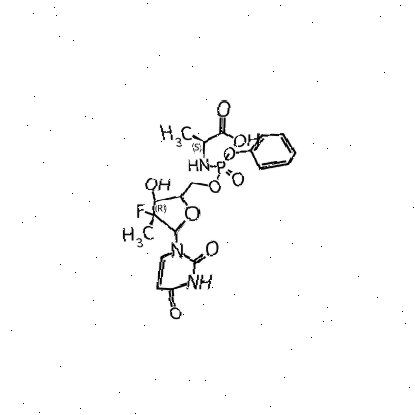 C[C@H](NP(=O)(OCC1OC(n2ccc(=O)[nH]c2=O)[C@](C)(F)C1O)Oc1ccccc1)C(=O)O